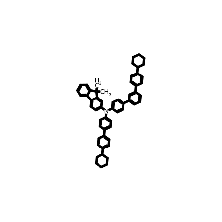 CC1(C)c2ccccc2-c2ccc(N(c3ccc(-c4ccc(C5CCCCC5)cc4)cc3)c3ccc(-c4cccc(-c5ccc(C6CCCCC6)cc5)c4)cc3)cc21